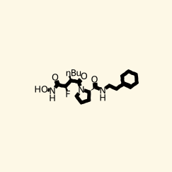 CCCC[C@@H](C(=O)N1CCC[C@H]1C(=O)NCCC1=CCCCC1)[C@@H](F)C(=O)NO